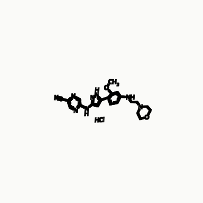 COc1cc(NCCN2CCOCC2)ccc1-c1cc(Nc2cnc(C#N)cn2)n[nH]1.Cl